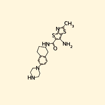 Cc1nc2sc(C(=O)NC3CCc4cc(N5CCNCC5)ccc4C3)c(N)c2s1